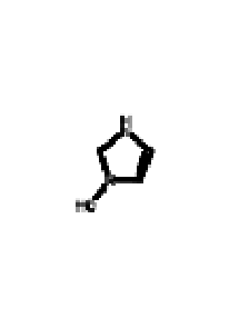 ON1C=CNC1